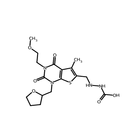 COCCn1c(=O)c2c(C)c(CNNC(=O)O)sc2n(CC2CCCO2)c1=O